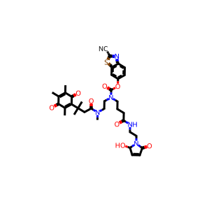 CC1=C(C)C(=O)C(C(C)(C)CC(=O)N(C)CCN(CCCC(=O)NCCN2C(=O)C=CC2O)C(=O)Oc2ccc3nc(C#N)sc3c2)=C(C)C1=O